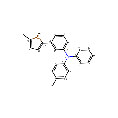 Cc1ccc(N(c2ccccc2)c2cccc(-c3ccc(C)s3)c2)cc1